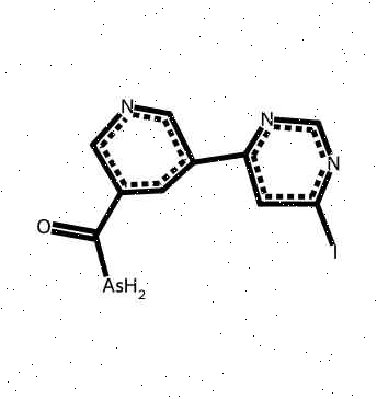 O=C([AsH2])c1cncc(-c2cc(I)ncn2)c1